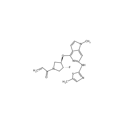 C=CC(=O)N1C[C@@H](F)[C@H](Oc2nc(Nc3ncc(C)s3)cc3c2ccn3C)C1